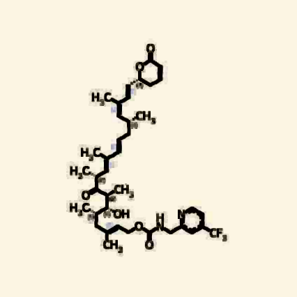 CC(=C/[C@H](C)C/C=C/C(C)=C/[C@@H](C)C(=O)[C@@H](C)[C@H](O)[C@@H](C)C/C(C)=C/COC(=O)NCc1cc(C(F)(F)F)ccn1)/C=C/[C@H]1CC=CC(=O)O1